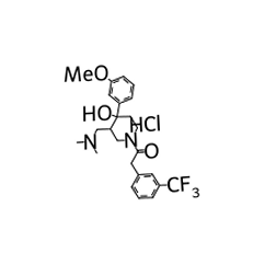 COc1cccc(C2(O)CCN(C(=O)Cc3cccc(C(F)(F)F)c3)CC2CN(C)C)c1.Cl